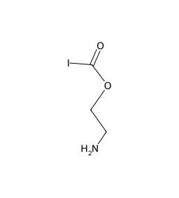 NCCOC(=O)I